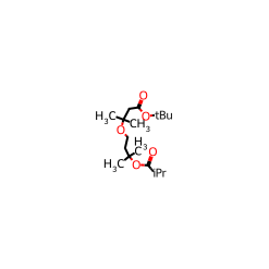 CC(C)C(=O)OC(C)(C)CCOC(C)(C)CC(=O)OC(C)(C)C